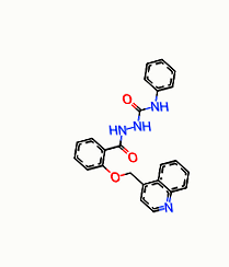 O=C(NNC(=O)c1ccccc1OCc1ccnc2ccccc12)Nc1ccccc1